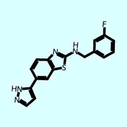 Fc1cccc(CNc2nc3ccc(-c4ccn[nH]4)cc3s2)c1